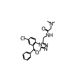 Cc1nnc(CNC(=O)CN(C)C)n1-c1ccc(Cl)cc1C(=O)c1ccccc1